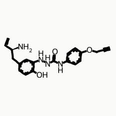 C#CCOc1ccc(NC(=O)NNc2cc(C[C@H](N)C=C)ccc2O)cc1